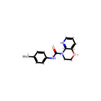 CSc1ccc(NC(=O)N2CCOc3cccnc32)cc1